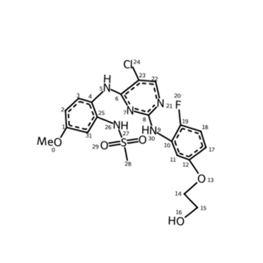 COc1ccc(Nc2nc(Nc3cc(OCCO)ccc3F)ncc2Cl)c(NS(C)(=O)=O)c1